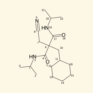 CC(C)NC(=O)C(CC#N)(CC1CCCCC1)C(=O)NC(C)C